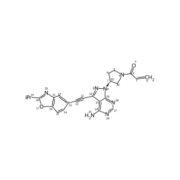 C=CC(=O)N1CC[C@H](n2nc(C#Cc3ccc4oc(C(C)C)nc4c3)c3c(N)ncnc32)C1